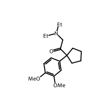 CCN(CC)CC(=O)C1(c2ccc(OC)c(OC)c2)CCCC1